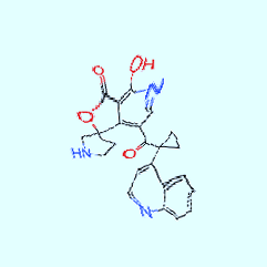 O=C1OC2(CCNC2)c2c(C(=O)C3(c4ccnc5ccccc45)CC3)cnc(O)c21